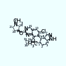 Cc1ccc2[nH]ncc2c1-c1c(Cl)cc2cnc(O[C@H]3CCN(C)C3)nc2c1OC1CC1